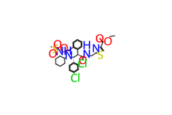 CCOC(=O)c1csc(CNC(=O)[C@@H]2c3ccccc3C(=O)N(C3CCCC[C@@H]3NS(C)(=O)=O)[C@H]2c2ccc(Cl)cc2Cl)n1